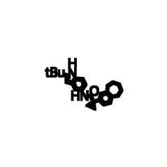 CC(C)(C)c1cc2cc(NC(=O)C3(c4ccc5c(c4)CCCCC5)CC3)ccc2[nH]1